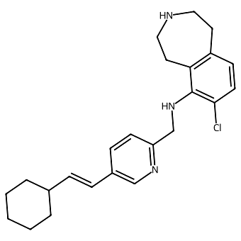 Clc1ccc2c(c1NCc1ccc(C=CC3CCCCC3)cn1)CCNCC2